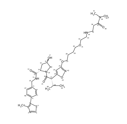 Cc1ncsc1-c1ccc(CNC(=O)[C@@H]2C[C@@H](O)CN2C(=O)[C@H](c2cc(OCCCCOCCNCCC(=O)N(C)C)no2)C(C)C)cc1